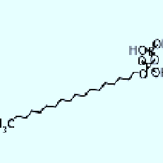 CCCCCCCCCCCCCCCCCCOP(=O)(O)OB(O)O